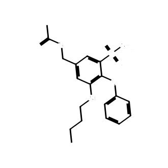 CCCCNc1cc(CNC(C)=O)cc(S(N)(=O)=O)c1Oc1ccccc1